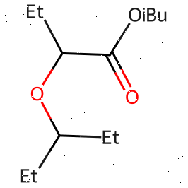 CCC(CC)OC(CC)C(=O)OCC(C)C